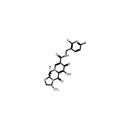 C[C@H]1CO[C@@]23CCC[C@@H]2n2cc(C(=O)NCc4ccc(F)nc4F)c(=O)c(O)c2C(=O)N13